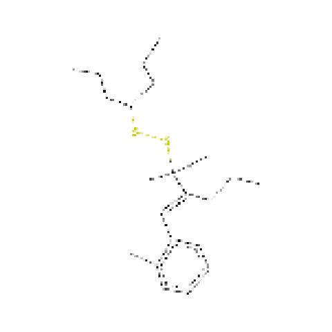 CCC/C(=C\c1ccccc1C)C(C)(C)SSC(CCC)CCC